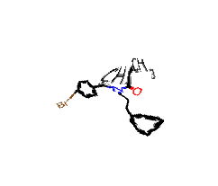 CCC(=O)N(CCCc1ccccc1)[C@@H](C)c1ccc(Br)cc1